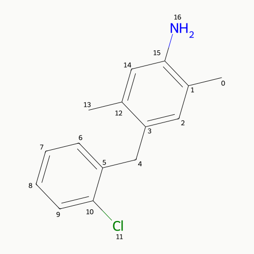 Cc1cc(Cc2ccccc2Cl)c(C)cc1N